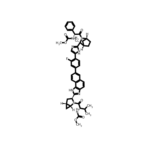 COC(=O)N[C@H](C(=O)N1[C@@H]2C[C@@H]2C[C@H]1c1nc2ccc3cc(-c4ccc(-c5cnc([C@]6(C)[C@H]7CC[C@H](C7)N6C(=O)[C@H](NC(=O)OC)c6ccccc6)[nH]5)c(F)c4)ccc3c2[nH]1)C(C)C